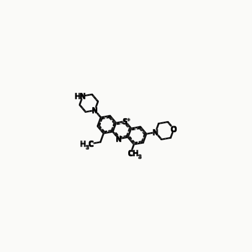 CCc1cc(N2CCNCC2)cc2[s+]c3cc(N4CCOCC4)cc(C)c3nc12